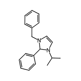 CC(C)N1C=CN(Cc2ccccc2)C1c1ccccc1